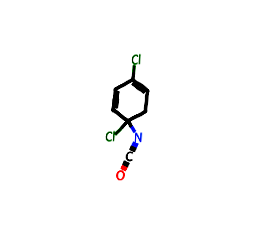 O=C=NC1(Cl)C=CC(Cl)=CC1